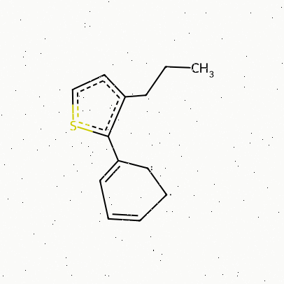 CCCc1ccsc1C1=CC=C[CH][C]1